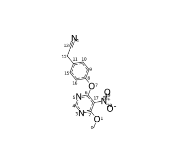 COc1ncnc(Oc2ccc(CC#N)cc2)c1[N+](=O)[O-]